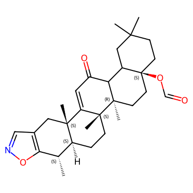 C[C@@H]1c2oncc2C[C@]2(C)C3=CC(=O)C4C5CC(C)(C)CC[C@]5(OC=O)CC[C@@]4(C)[C@]3(C)CC[C@@H]12